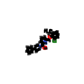 Cc1cccc(Cl)c1OCc1cccc(C(=O)N2CCC(c3ccccc3)CC2)n1